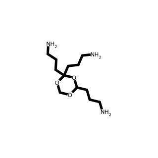 NCCCC1OCOC(CCCN)(CCCN)O1